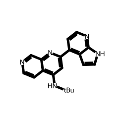 CC(C)(C)Nc1cc(-c2ccnc3[nH]ccc23)nc2cnccc12